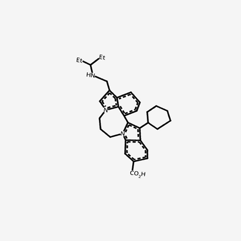 CCC(CC)NCc1cn2c3c(cccc13)-c1c(C3CCCCC3)c3ccc(C(=O)O)cc3n1CCC2